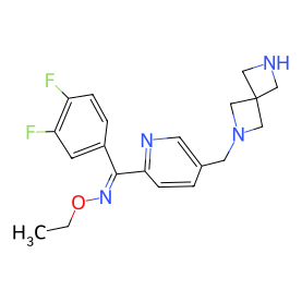 CCO/N=C(\c1ccc(F)c(F)c1)c1ccc(CN2CC3(CNC3)C2)cn1